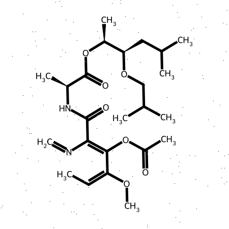 C=N/C(C(=O)N[C@@H](C)C(=O)O[C@@H](C)[C@@H](CC(C)C)OCC(C)C)=C(OC(C)=O)\C(=C/C)OC